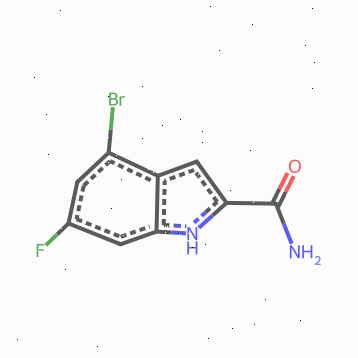 NC(=O)c1cc2c(Br)cc(F)cc2[nH]1